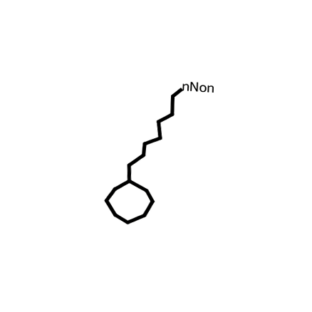 CCCCCCCCCCCCCCCCC1CCCCCCC1